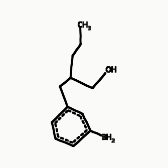 Bc1cccc(CC(CO)CCC)c1